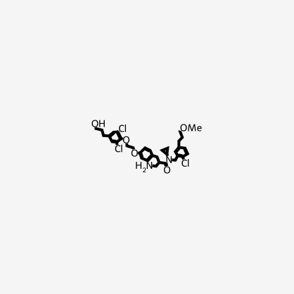 COCCCc1ccc(Cl)c(CN(C(=O)C(CN)Cc2ccc(OCCOc3c(Cl)cc(CCCO)cc3Cl)cc2)C2CC2)c1